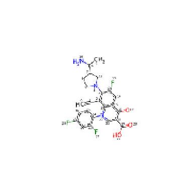 C#Cc1c(N2CCC(C(C)N)C2)c(F)cc2c(=O)c(C(=O)O)cn(-c3ccc(F)cc3F)c12